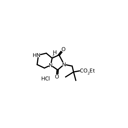 CCOC(=O)C(C)(C)CN1C(=O)[C@@H]2CNCCN2C1=O.Cl